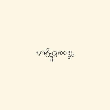 CCN1CCc2[nH]c3nc(N4CC5(CC(O[SH](=O)=O)C5)C4)ccc3c2C1=O